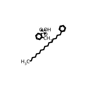 CCCCCCCCCCCCCCCCc1ccccc1.Cc1ccccc1S(=O)(=O)O